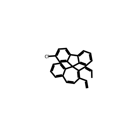 C=CC1=C(/C=C\C)C2(c3ccccc3C=C1)c1ccccc1-c1ccc(Cl)cc12